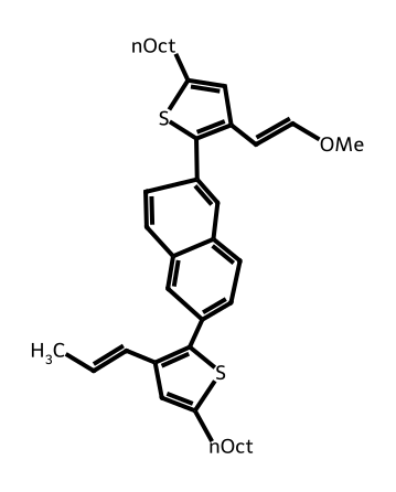 CC=Cc1cc(CCCCCCCC)sc1-c1ccc2cc(-c3sc(CCCCCCCC)cc3C=COC)ccc2c1